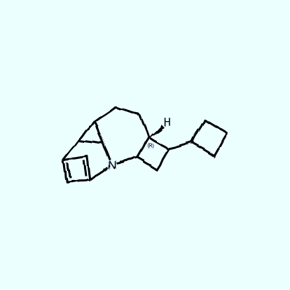 C1=C2C=C1N1C3C(CC[C@@H]4C(C5CCC5)CC41)C23